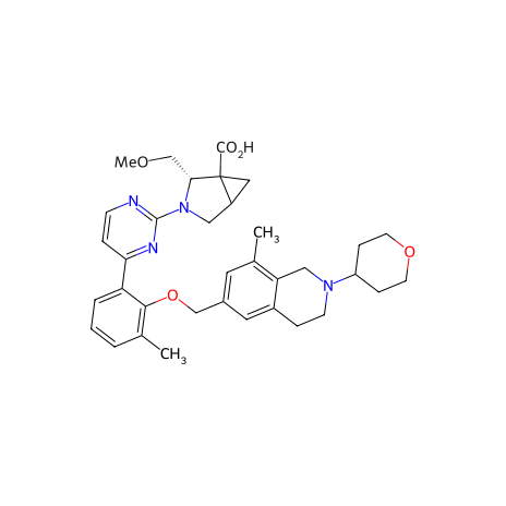 COC[C@H]1N(c2nccc(-c3cccc(C)c3OCc3cc(C)c4c(c3)CCN(C3CCOCC3)C4)n2)CC2CC21C(=O)O